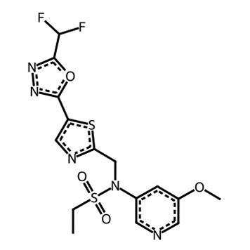 CCS(=O)(=O)N(Cc1ncc(-c2nnc(C(F)F)o2)s1)c1cncc(OC)c1